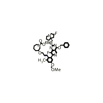 COCOc1cc(C)c(/C=C/COC2CCCCN(C(=O)OC(C)(C)C)C2)c(-c2ncc3c(OCc4ccccc4)nc(OC[C@@]45CCCN4C[C@H](F)C5)nc3c2F)c1